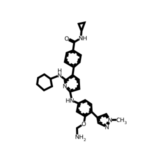 Cn1cc(-c2ccc(Nc3ccc(-c4ccc(C(=O)NC5CC5)cc4)c(NC4CCCCC4)n3)cc2OCN)cn1